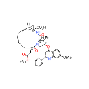 CCC1[C@@H](Oc2cc(-c3ccccc3)nc3cc(OC)ccc23)CN2C(=O)[C@@H](CC(=O)OC(C)(C)C)CCCCCC=C[C@H]3C[C@]3(C(=O)O)NC(=O)[C@H]12